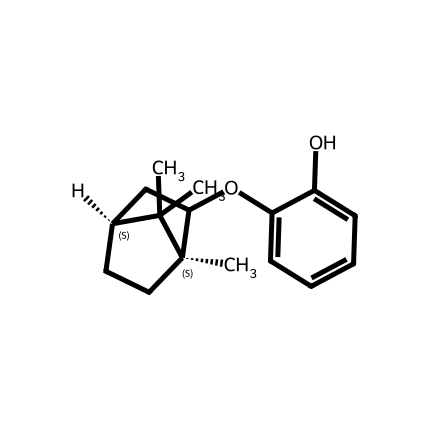 CC1(C)[C@H]2CC[C@]1(C)C(Oc1ccccc1O)C2